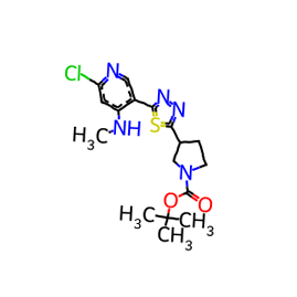 CNc1cc(Cl)ncc1-c1nnc(C2CCN(C(=O)OC(C)(C)C)C2)s1